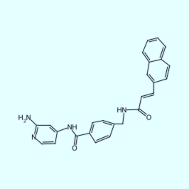 Nc1cc(NC(=O)c2ccc(CNC(=O)C=Cc3ccc4ccccc4c3)cc2)ccn1